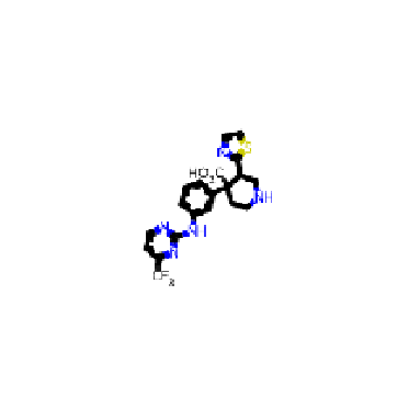 O=C(O)C1(c2cccc(Nc3nccc(C(F)(F)F)n3)c2)CCNCC1c1nccs1